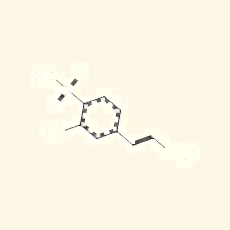 CS(=O)(=O)c1ccc(/C=C/C(=O)O)cc1C(F)(F)F